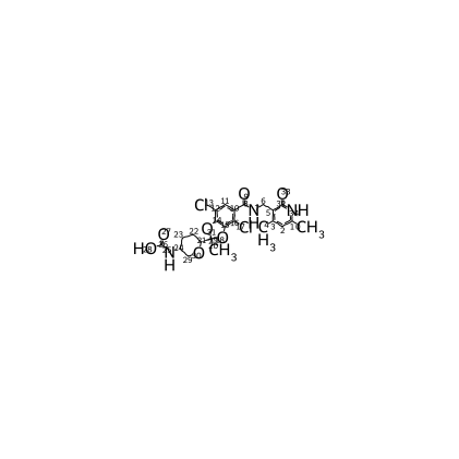 Cc1cc(C)c(CNC(=O)c2cc(Cl)c3c(c2Cl)OC(C)([C@@H]2CC[C@@H](NC(=O)O)CO2)O3)c(=O)[nH]1